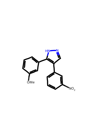 COc1cccc(-c2[nH]ncc2-c2cccc([N+](=O)[O-])c2)c1